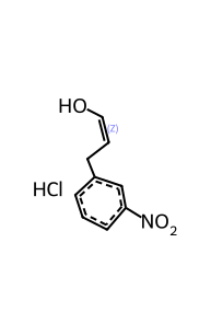 Cl.O=[N+]([O-])c1cccc(C/C=C\O)c1